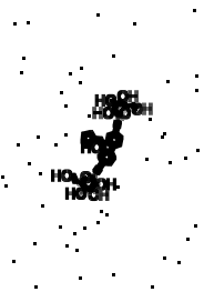 OCC[C@H]1O[C@H](C#Cc2ccc3c(c2)C(O)(CC2CCCC2)c2cc(C#C[C@H]4O[C@H](CO)[C@@H](O)[C@H](O)[C@@H]4O)ccc2-3)[C@@H](O)[C@@H](O)[C@@H]1O